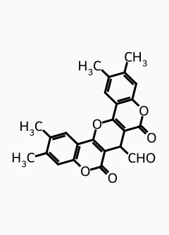 Cc1cc2oc(=O)c3c(c2cc1C)Oc1c(c(=O)oc2cc(C)c(C)cc12)C3C=O